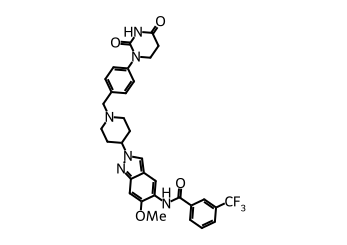 COc1cc2nn(C3CCN(Cc4ccc(N5CCC(=O)NC5=O)cc4)CC3)cc2cc1NC(=O)c1cccc(C(F)(F)F)c1